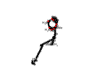 C=C1[C@H](C)C[C@@H]2CCC3O[C@@H](CC[C@]45C[C@@H](O)[C@H](O4)[C@H]4C[C@@H](O5)[C@H]5O[C@H](CC[C@@H]5O4)CC(=O)C[C@@H]4[C@@H](OC)[C@@H](C[C@H](O)CCC(=O)OCc5ccc(N(CCOCCOCCOCCn6cc(COCCOCCOCCOCCNC(=O)CCN7C(=O)C=CC7=O)nn6)C(=O)OCC(C)(C)SSC)cc5)O[C@H]4C[C@H]1O2)CC3C